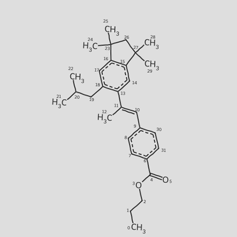 CCCOC(=O)c1ccc(/C=C(\C)c2cc3c(cc2CC(C)C)C(C)(C)CC3(C)C)cc1